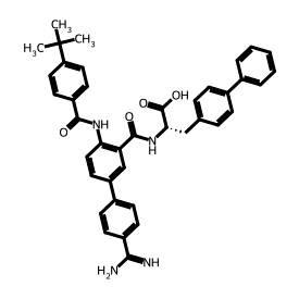 CC(C)(C)c1ccc(C(=O)Nc2ccc(-c3ccc(C(=N)N)cc3)cc2C(=O)N[C@@H](Cc2ccc(-c3ccccc3)cc2)C(=O)O)cc1